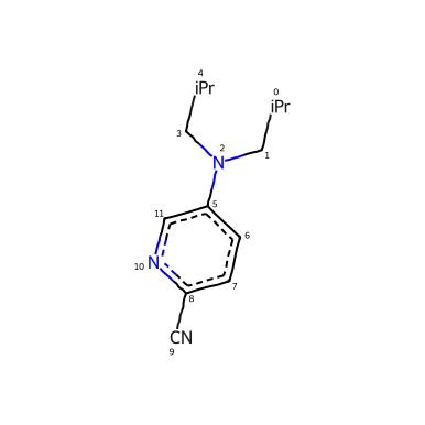 CC(C)CN(CC(C)C)c1ccc(C#N)nc1